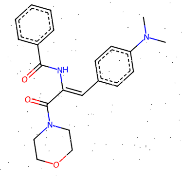 CN(C)c1ccc(C=C(NC(=O)c2ccccc2)C(=O)N2CCOCC2)cc1